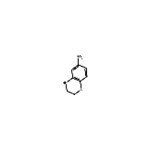 O=[N+]([O-])c1ccc2c(c1)NCCS2